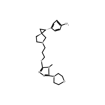 Cn1c(SCCCN2CC[C@]3(C[C@@H]3c3ccc(C(F)(F)F)cc3)C2)nnc1N1CCOCC1